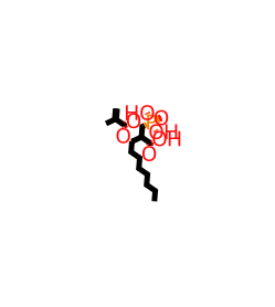 C=C(C)C(=O)OC(CCCCCCC)C(CP(=O)(O)O)C(=O)O